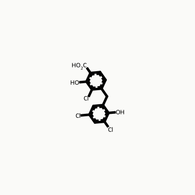 O=C(O)c1ccc(Cc2cc(Cl)cc(Cl)c2O)c(Cl)c1O